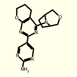 Nc1ncc(-c2nc3c(c(N4C5CCC4COC5)n2)CCCO3)cn1